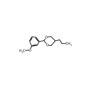 CCCC1COC(c2cccc(OC)c2)OC1